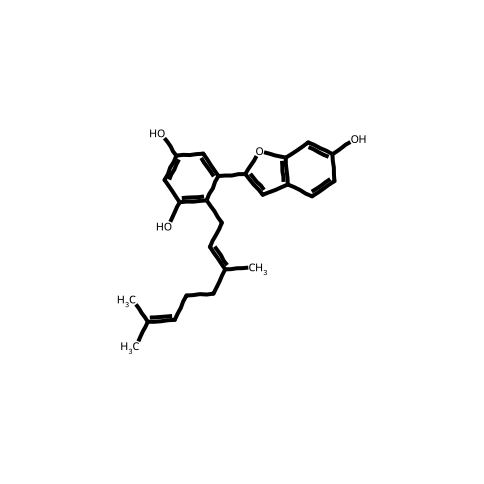 CC(C)=CCC/C(C)=C/Cc1c(O)cc(O)cc1-c1cc2ccc(O)cc2o1